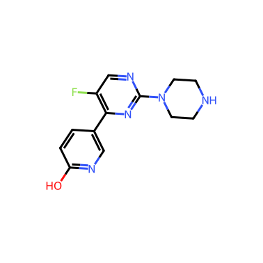 Oc1ccc(-c2nc(N3CCNCC3)ncc2F)cn1